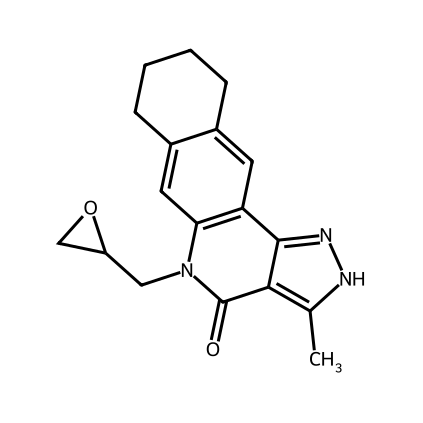 Cc1[nH]nc2c1c(=O)n(CC1CO1)c1cc3c(cc21)CCCC3